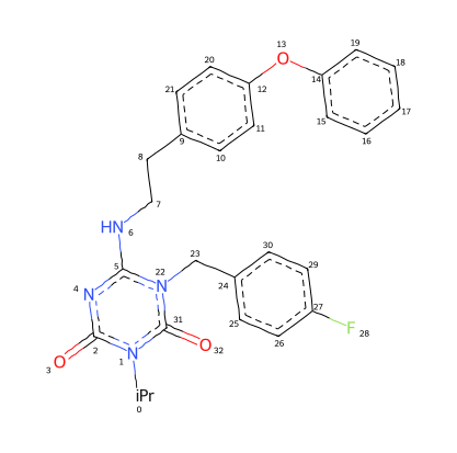 CC(C)n1c(=O)nc(NCCc2ccc(Oc3ccccc3)cc2)n(Cc2ccc(F)cc2)c1=O